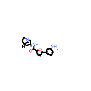 Nc1cccc(-c2ccc(C(=O)N[C@@H]3C[C@H]4CCN(C4)C3)o2)c1